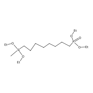 CCO[Si](C)(CCCCCCCCP(=O)(OCC)OCC)OCC